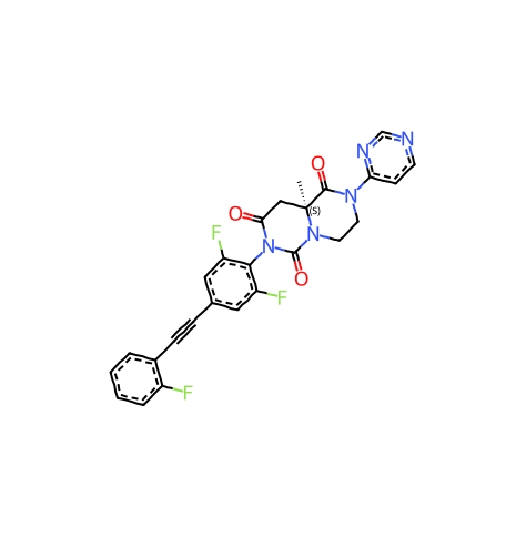 C[C@@]12CC(=O)N(c3c(F)cc(C#Cc4ccccc4F)cc3F)C(=O)N1CCN(c1ccncn1)C2=O